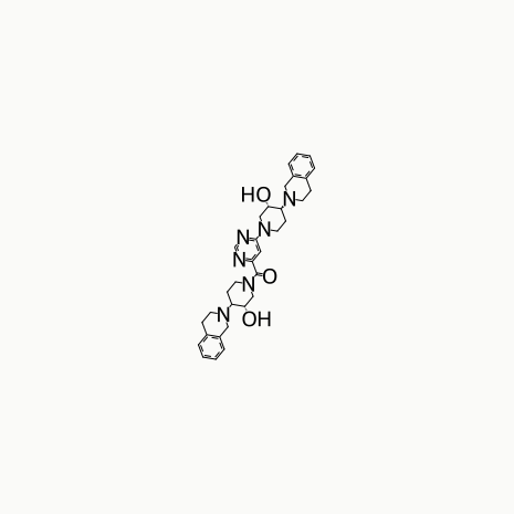 O=C(c1cc(N2CC[C@H](N3CCc4ccccc4C3)[C@@H](O)C2)ncn1)N1CCC(N2CCc3ccccc3C2)[C@@H](O)C1